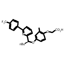 CCCC[C@H](Oc1ccc(OCC(=O)O)c(C)c1)c1cccc(-c2ccc(C(F)(F)F)cc2)n1